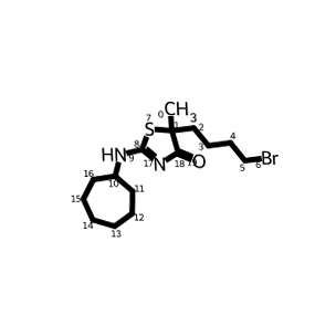 CC1(CCCCBr)SC(NC2CCCCCC2)=NC1=O